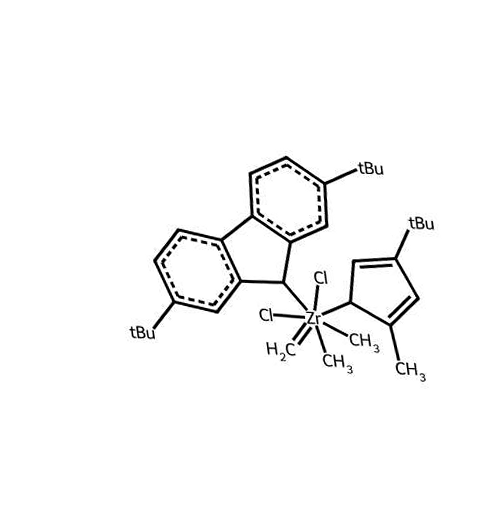 [CH2]=[Zr]([CH3])([CH3])([Cl])([Cl])([CH]1C=C(C(C)(C)C)C=C1C)[CH]1c2cc(C(C)(C)C)ccc2-c2ccc(C(C)(C)C)cc21